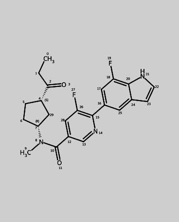 CCC(=O)[C@H]1CC[C@@H](N(C)C(=O)c2cnc(-c3cc(F)c4[nH]ccc4c3)c(F)c2)C1